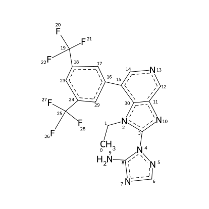 CCn1c(-n2ncnc2N)nc2cncc(-c3cc(C(F)(F)F)cc(C(F)(F)F)c3)c21